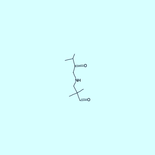 CC(C)C(=O)CNCC(C)(C)C=O